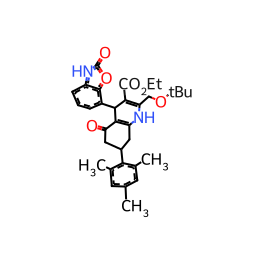 CCOC(=O)C1=C(COC(C)(C)C)NC2=C(C(=O)CC(c3c(C)cc(C)cc3C)C2)C1c1cccc2[nH]c(=O)oc12